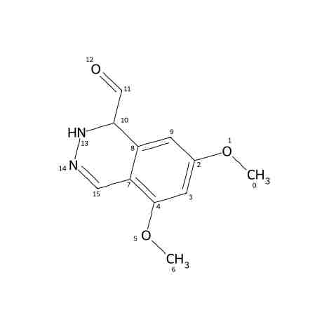 COc1cc(OC)c2c(c1)C(C=O)NN=C2